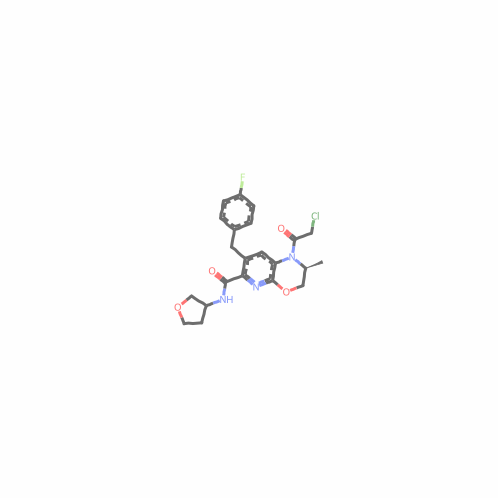 C[C@H]1COc2nc(C(=O)NC3CCOC3)c(Cc3ccc(F)cc3)cc2N1C(=O)CCl